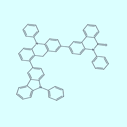 O=c1c2ccccc2c2cc(-c3ccc4c(c3)Cc3c(-c5ccc6c(c5)c5ccccc5n6-c5ccccc5)cccc3N4c3ccccc3)ccc2n1-c1ccccc1